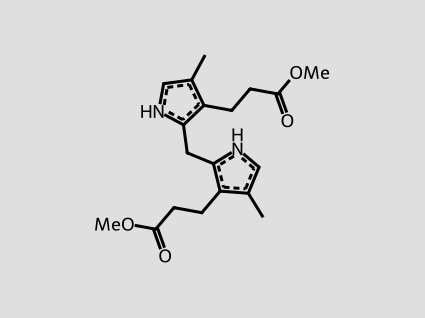 COC(=O)CCc1c(C)c[nH]c1Cc1[nH]cc(C)c1CCC(=O)OC